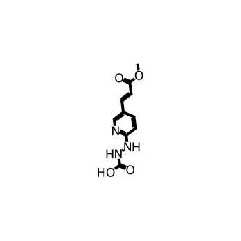 COC(=O)/C=C/c1ccc(NNC(=O)O)nc1